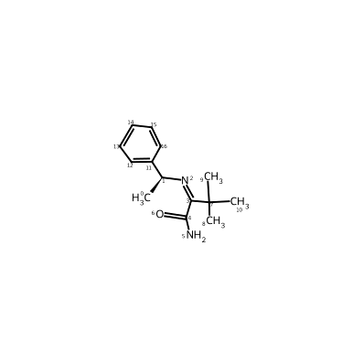 C[C@H](/N=C(\C(N)=O)C(C)(C)C)c1ccccc1